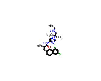 CCC[C@H](C[C@H]1CCc2cc(F)cc(F)c2C1)C(=O)Nc1cn(C(C)(C)CNCC(C)(C)C)cn1